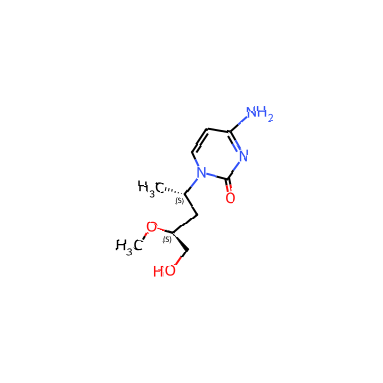 CO[C@H](CO)C[C@H](C)n1ccc(N)nc1=O